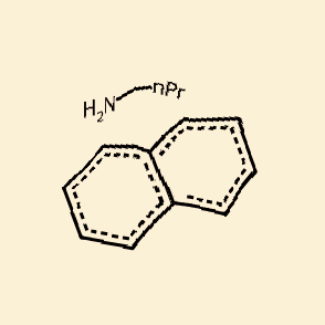 CCCN.c1ccc2ccccc2c1